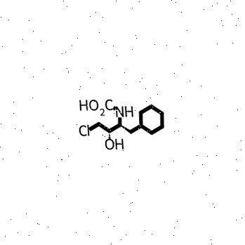 O=C(O)N[C@@H](CC1CCCCC1)[C@H](O)CCl